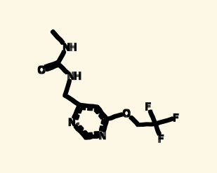 CNC(=O)NCc1cc(OCC(F)(F)F)ncn1